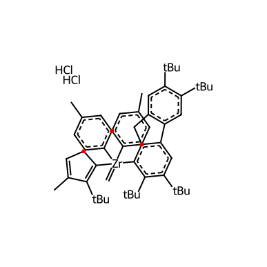 Cl.Cl.[CH2]=[Zr]([C]1=C(C(C)(C)C)C(C)=CC1)([c]1ccc(C)cc1)([c]1ccc(C)cc1)[c]1c2c(cc(C(C)(C)C)c1C(C)(C)C)-c1cc(C(C)(C)C)c(C(C)(C)C)cc1C2